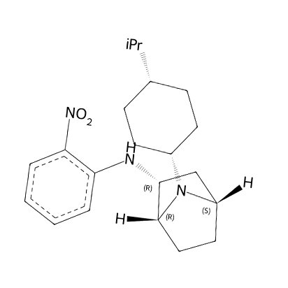 CC(C)[C@H]1CC[C@@H](N2[C@H]3CC[C@@H]2[C@H](Nc2ccccc2[N+](=O)[O-])C3)CC1